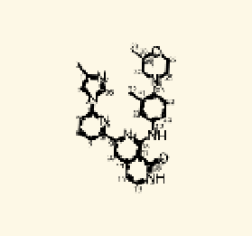 Cc1cn(-c2cccc(-c3cc4cc[nH]c(=O)c4c(Nc4ccc(N5CCO[C@H](C)C5)c(C)c4)n3)n2)cn1